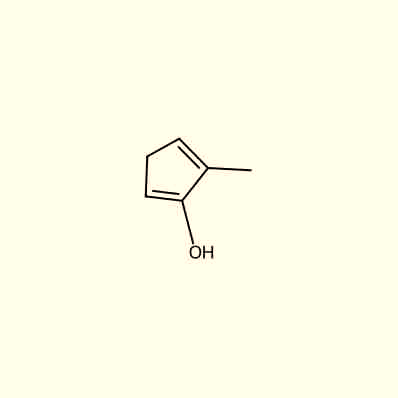 CC1=CCC=C1O